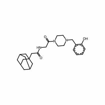 O=C(CC12CC3CC(CC(C3)C1)C2)NCC(=O)N1CCN(Cc2ccccc2O)CC1